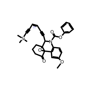 COc1ccc2c(c1)C13OC1(CCCC3=O)C(C#C/C=C\C#C[Si](C)(C)C)N2C(=O)Oc1ccccc1